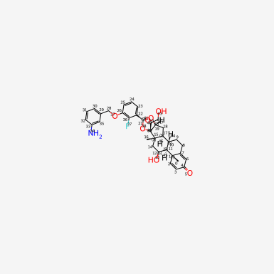 C[C@]12C=CC(=O)C=C1CC[C@@H]1[C@@H]2[C@@H](O)C[C@@]2(C)[C@H]1C[C@H]1O[C@H](c3cccc(OCc4cccc(N)c4)c3F)O[C@]12C(=O)CO